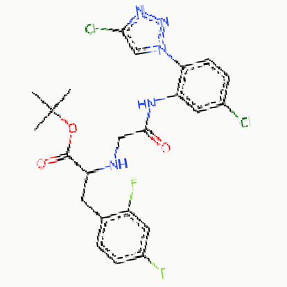 CC(C)(C)OC(=O)C(Cc1ccc(F)cc1F)NCC(=O)Nc1cc(Cl)ccc1-n1cc(Cl)nn1